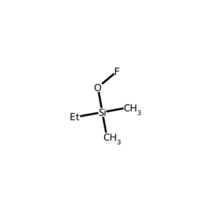 CC[Si](C)(C)OF